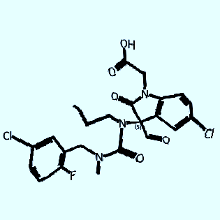 CCCN(C(=O)N(C)Cc1cc(Cl)ccc1F)[C@@]1(C=O)C(=O)N(CC(=O)O)c2ccc(Cl)cc21